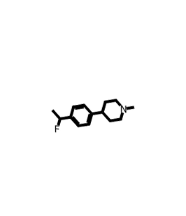 CC(F)c1ccc(C2CCN(C)CC2)cc1